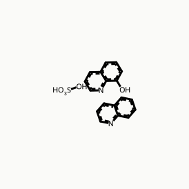 O=S(=O)(O)O.Oc1cccc2cccnc12.c1ccc2ncccc2c1